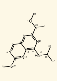 CO[C@H](C)c1cc2cnc(SC)nc2c(NC(C)C)n1